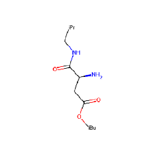 CCC(C)OC(=O)C[C@H](N)C(=O)NCC(C)C